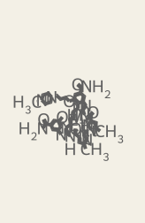 CCn1nc(C)cc1C(=O)Nc1nc2cc(C(N)=O)cc(OC)c2n1C/C=C/Cn1c(NC(=O)c2cc(C)nn2CC)nc2cc(C(N)=O)cc(OCCCN3CCN(C)CC3)c21